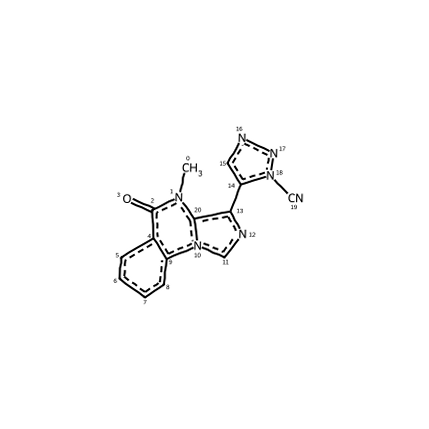 Cn1c(=O)c2ccccc2n2cnc(-c3cnnn3C#N)c12